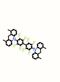 Cc1cccc2c1Cc1c(C)cccc1N2c1c(F)c(F)c(-c2c(F)c(F)c(N3c4cccc(C)c4Cc4c(C)cccc43)c(F)c2F)c(F)c1F